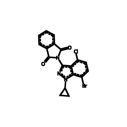 O=C1c2ccccc2C(=O)N1c1nn(C2CC2)c2c(Br)ccc(Cl)c12